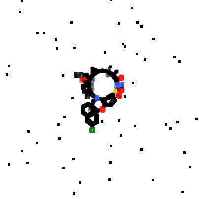 C[C@H]1CC2CC2[C@@](O)(CC#N)[C@@H]2CC[C@H]2CN2C[C@@]3(CCCc4cc(Cl)ccc43)COc3ccc(cc32)S(=O)(=O)NC(=O)[C@@H]1C